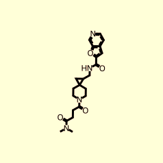 CN(C)C(=O)CCC(=O)N1CCC2(CC1)CC2CNC(=O)c1cc2ccncc2o1